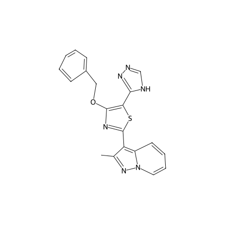 Cc1nn2ccccc2c1-c1nc(OCc2ccccc2)c(-c2nnc[nH]2)s1